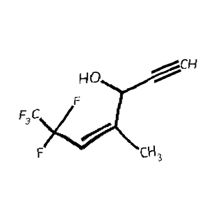 C#CC(O)C(C)=CC(F)(F)C(F)(F)F